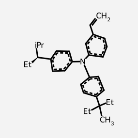 C=Cc1cccc(N(c2ccc([C@@H](CC)C(C)C)cc2)c2ccc(C(C)(CC)CC)cc2)c1